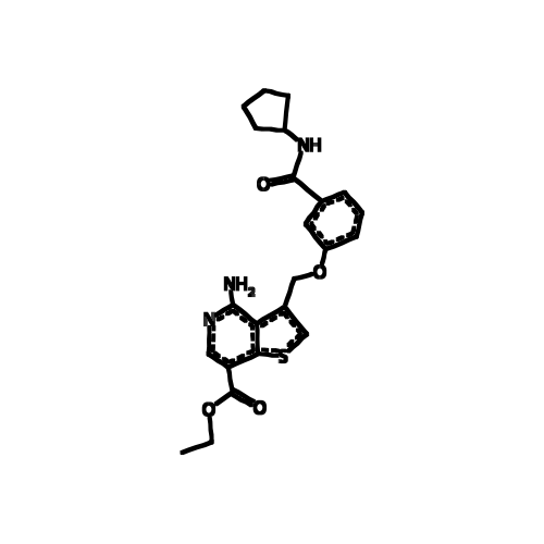 CCOC(=O)c1cnc(N)c2c(COc3cccc(C(=O)NC4CCCC4)c3)csc12